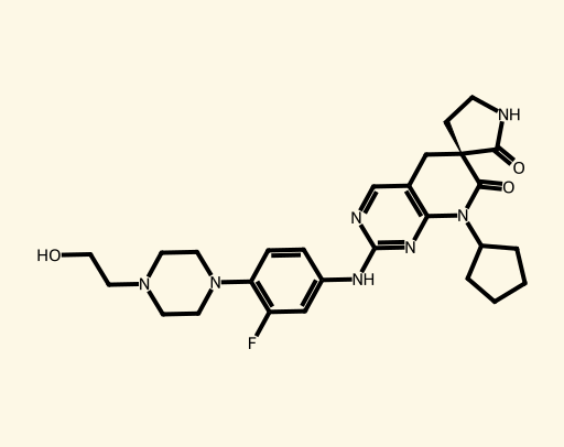 O=C1NCC[C@@]12Cc1cnc(Nc3ccc(N4CCN(CCO)CC4)c(F)c3)nc1N(C1CCCC1)C2=O